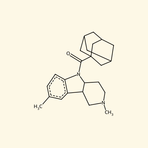 Cc1ccc2c(c1)C1CN(C)CCC1N2C(=O)C12CC3CC(CC(C3)C1)C2